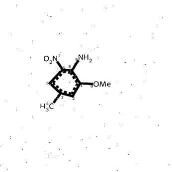 COc1cc(C)cc([N+](=O)[O-])c1N